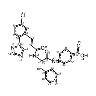 O=C(C=Cc1cc(Cl)ccc1-n1cnnn1)N[C@@H](Cc1ccncc1)C(=O)Nc1ccc(C(=O)O)cc1